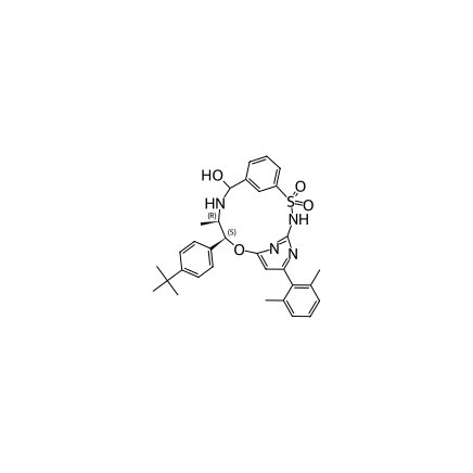 Cc1cccc(C)c1-c1cc2nc(n1)NS(=O)(=O)c1cccc(c1)C(O)N[C@H](C)[C@H](c1ccc(C(C)(C)C)cc1)O2